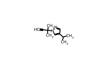 C#CC(C)(C)n1cc(C(C)C)cn1